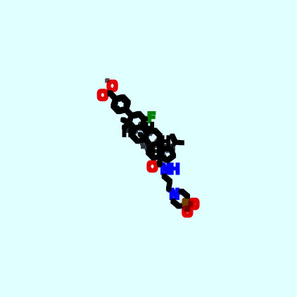 COC(=O)c1ccc(C2=CC(F)[C@]3(C)[C@H]4CC[C@@H]5[C@H]6[C@H](C(C)C)CC[C@]6(C(=O)NCCCN6CCS(=O)(=O)CC6)CC[C@@]5(C)[C@]4(C)CC[C@H]3C2(C)C)cc1